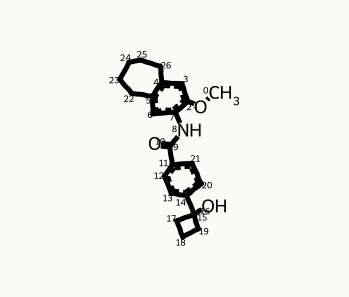 COc1cc2c(cc1NC(=O)c1ccc(C3(O)CCC3)cc1)CCCCC2